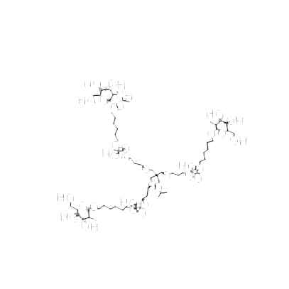 CC(=O)NC1[C@H](OCCCCCCOP(=O)(O)OCCCOCC(COCCCOP(=O)(O)OCCCCCCO[C@@H]2OC(CO)[C@H](O)[C@H](O)C2C)(COCCCOP(=O)(O)OCCCCCCO[C@@H]2OC(CO)[C@H](O)[C@H](O)C2C)COC(C)C)OC(CO)[C@H](O)[C@@H]1O